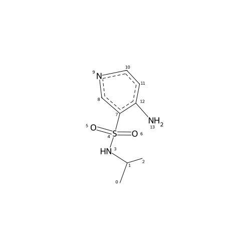 CC(C)NS(=O)(=O)c1cnccc1N